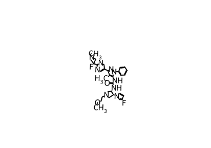 COCCN1CC(NC(=O)Nc2c(C)c(-c3cnc(C4(F)CN(C)C4)nc3)nn2-c2ccccc2)C(n2ccc(F)c2)C1